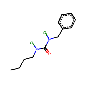 CCCCN(Cl)C(=O)N(Cl)Cc1ccccc1